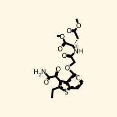 CCc1sc2cccc(OCC(=O)N[C@@H](CC(=O)OC)C(=O)OC)c2c1C(=O)C(N)=O